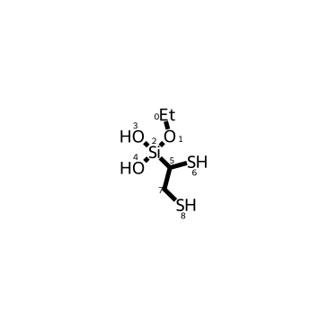 CCO[Si](O)(O)C(S)CS